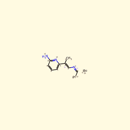 CC[C@H](C)/C(=N/C=C(\C)c1cccc(N)n1)C(C)C